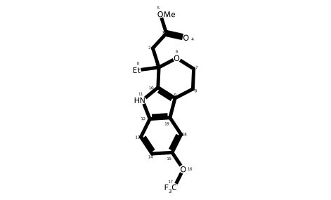 CCC1(CC(=O)OC)OCCc2c1[nH]c1ccc(OC(F)(F)F)cc21